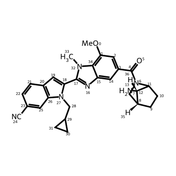 COc1cc(C(=O)N2C[C@H]3CCC2[C@H]3N)cc2nc(-c3cc4ccc(C#N)cc4n3CC3CC3)n(C)c12